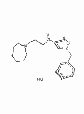 Cl.c1ccc(Cn2cc(NCCN3CCCCCC3)nn2)cc1